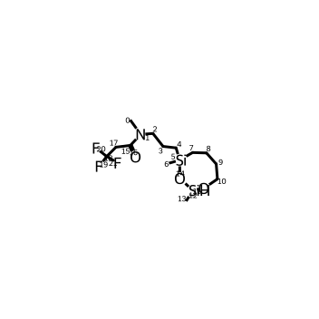 CN(CCC[Si]1(C)CCCCO[SiH](C)O1)C(=O)CC(F)(F)F